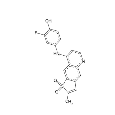 CC1=Cc2cc3nccc(Nc4ccc(O)c(F)c4)c3cc2S1(=O)=O